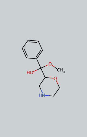 COC(O)(c1ccccc1)C1CNCCO1